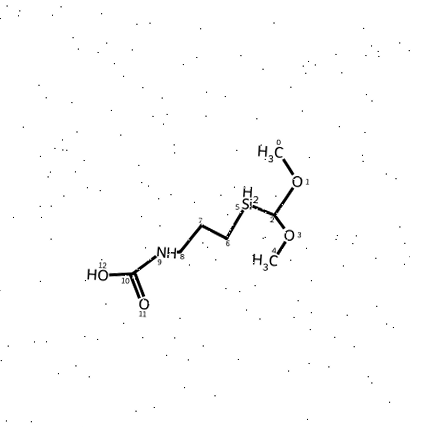 COC(OC)[SiH2]CCCNC(=O)O